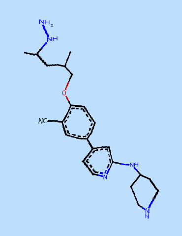 CC(COc1ccc(-c2ccnc(NC3CCNCC3)c2)cc1C#N)CC(C)NN